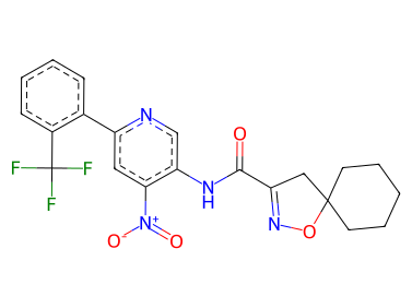 O=C(Nc1cnc(-c2ccccc2C(F)(F)F)cc1[N+](=O)[O-])C1=NOC2(CCCCC2)C1